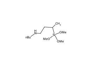 CCCCNCCC(C)[Si](OC)(OC)OC